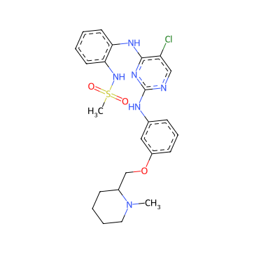 CN1CCCCC1COc1cccc(Nc2ncc(Cl)c(Nc3ccccc3NS(C)(=O)=O)n2)c1